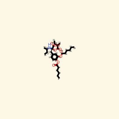 CCCCCC(=O)Oc1ccc(C[C@](NC(C)CC)(OC(=O)C(C)CC)C(=O)O)cc1OC(=O)CCCCC